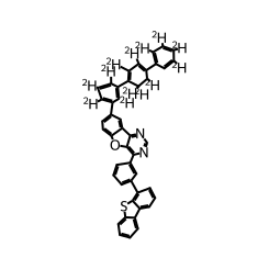 [2H]C1=C(c2cc([2H])c([2H])c([2H])c2[2H])C([2H])C([2H])([2H])C(c2c([2H])c([2H])c([2H])c(-c3ccc4oc5c(-c6cccc(-c7cccc8c7sc7ccccc78)c6)ncnc5c4c3)c2[2H])=C1[2H]